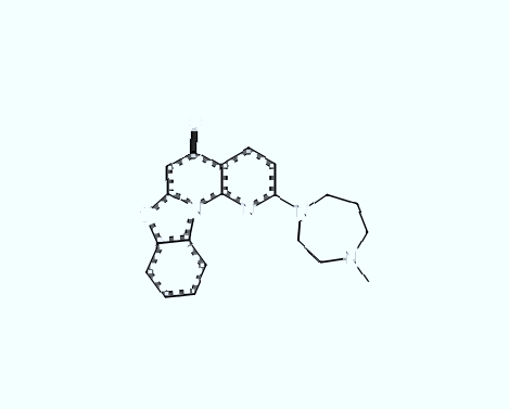 CN1CCCN(c2ccc3c(=O)cc4sc5ccccc5n4c3n2)CC1